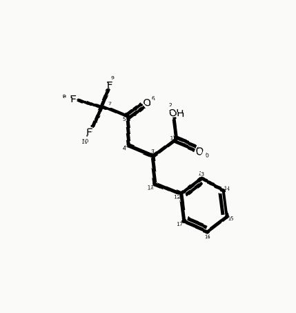 O=C(O)C(CC(=O)C(F)(F)F)Cc1ccccc1